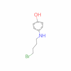 Oc1ccc(NCCCCBr)cc1